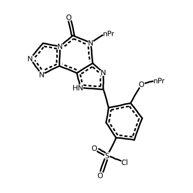 CCCOc1ccc(S(=O)(=O)Cl)cc1-c1nc2c([nH]1)c1nncn1c(=O)n2CCC